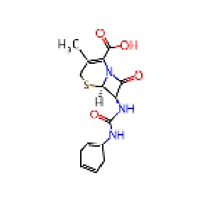 CC1=C(C(=O)O)N2C(=O)[C@@H](NC(=O)NC3=CCC=CC3)[C@H]2SC1